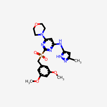 COc1cc(CS(=O)(=O)c2nc(Nc3cc(C)n[nH]3)cc(N3CCOCC3)n2)cc(OC)c1